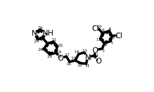 O=C(OCc1cc(Cl)cc(Cl)c1)N1CCC(CCOc2ccc(-c3cnc[nH]3)cc2)CC1